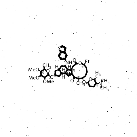 CC[C@H]1CCC[C@H](O[C@H]2CC[C@H](N(C)C)C(C)O2)[C@@H](C)C(=O)C2=C[C@H]3[C@@H]4C[C@H](O[C@@H]5OC(C)[C@H](OC)C(OC)C5OC)C[C@H]4C[C@H](Nc4ccc5sccc5c4)[C@H]3[C@@H]2CC(=O)O1